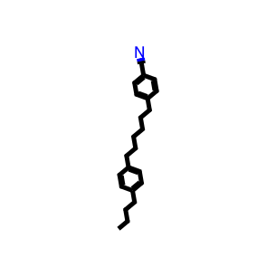 CCCCc1ccc(CCCCCCc2ccc(C#N)cc2)cc1